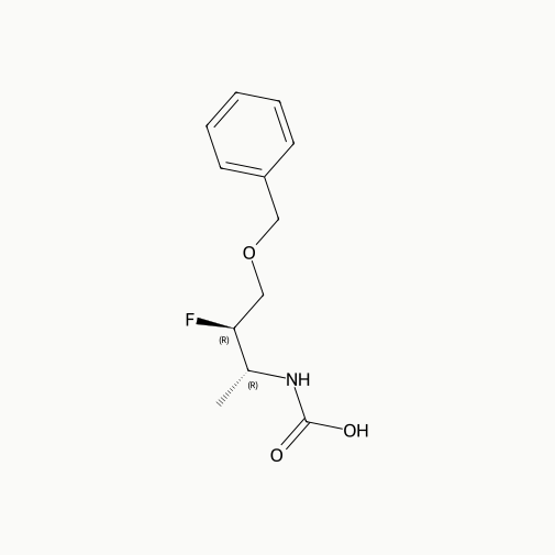 C[C@@H](NC(=O)O)[C@@H](F)COCc1ccccc1